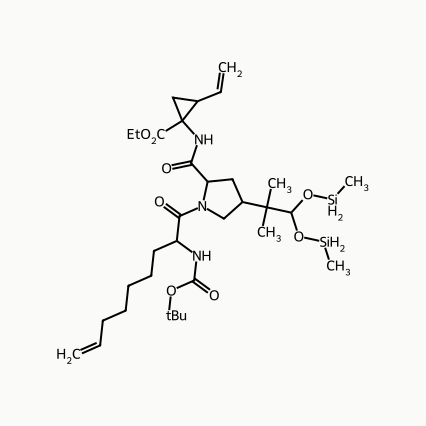 C=CCCCCCC(NC(=O)OC(C)(C)C)C(=O)N1CC(C(C)(C)C(O[SiH2]C)O[SiH2]C)CC1C(=O)NC1(C(=O)OCC)CC1C=C